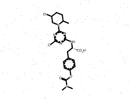 CCC1CCC(C)N(c2nc(Cl)nc(N[C@@H](Cc3ccc(OC(=O)N(C)C)cc3)C(=O)O)n2)C1